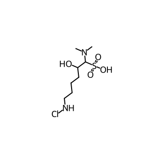 CN(C)C(C(O)CCCCNCl)S(=O)(=O)O